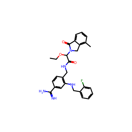 CCOC(C(=O)NCc1ccc(C(=N)N)cc1NCc1ccccc1F)N1Cc2c(C)cccc2C1=O